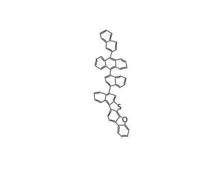 c1ccc2cc(-c3c4ccccc4c(-c4ccc(-c5cc6sc7c(ccc8c9ccccc9oc87)c6c6ccccc56)c5ccccc45)c4ccccc34)ccc2c1